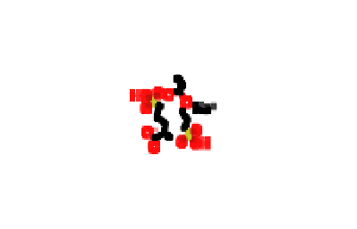 C=C(CCCS(=O)(=O)O)C(=O)[O-].C=CC(=O)OCCCS(=O)(=O)O.[Na+]